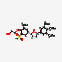 COc1cc([C@H]2CC[C@H](c3cc(OC)c(OCCO)c(S(C)(=O)=O)c3)O2)cc(OC)c1OC